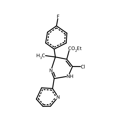 CCOC(=O)C1=C(Cl)NC(c2ccccn2)=NC1(C)c1ccc(F)cc1